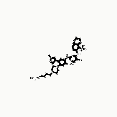 COc1cc(N2CCN(CCCCCC(=O)O)CC2)c(-c2cnn(C)c2)cc1Nc1ncc(Br)c(Nc2ccc3nccnc3c2P(C)(C)=O)n1